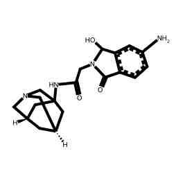 Nc1ccc2c(c1)C(O)N(CC(=O)NC13C[C@@H]4C[C@@H](CN(C4)C1)C3)C2=O